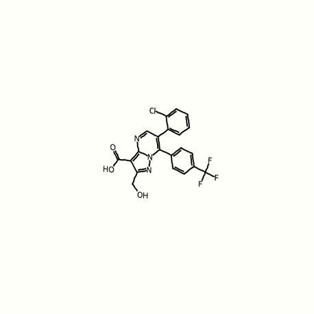 O=C(O)c1c(CO)nn2c(-c3ccc(C(F)(F)F)cc3)c(-c3ccccc3Cl)cnc12